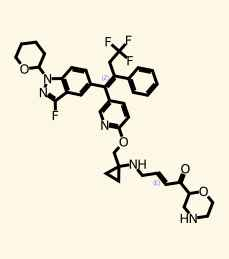 O=C(/C=C/CNC1(COc2ccc(/C(=C(/CC(F)(F)F)c3ccccc3)c3ccc4c(c3)c(F)nn4C3CCCCO3)cn2)CC1)C1CNCCO1